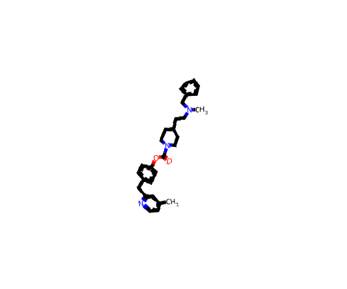 Cc1ccnc(Cc2ccc(OC(=O)N3CCC(CCN(C)Cc4ccccc4)CC3)cc2)c1